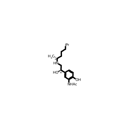 CC(=O)Nc1cc([C@@H](O)CN[C@H](C)CCCC(C)C)ccc1O